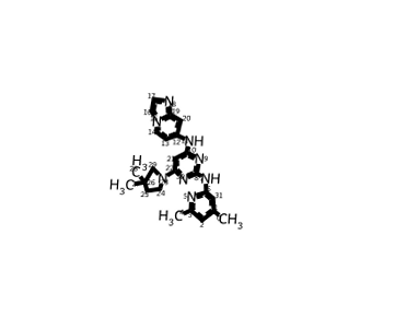 Cc1cc(C)nc(Nc2nc(Nc3ccn4ccnc4c3)cc(N3CCC(C)(C)C3)n2)c1